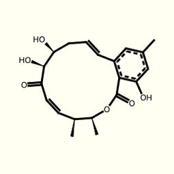 Cc1cc(O)c2c(c1)/C=C/C[C@H](O)[C@H](O)C(=O)/C=C\[C@H](C)[C@H](C)OC2=O